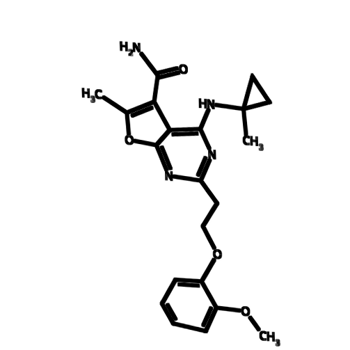 COc1ccccc1OCCc1nc(NC2(C)CC2)c2c(C(N)=O)c(C)oc2n1